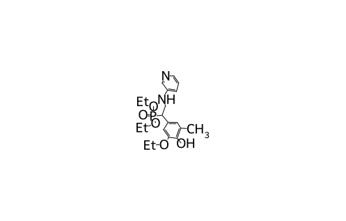 CCOc1cc(C(CNc2cccnc2)P(=O)(OCC)OCC)cc(C)c1O